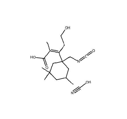 CC(C(=O)O)=C(CCO)C1(CN=C=O)CC(C)CC(C)(C)C1.N#CO